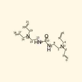 C=CCN(CC=C)CCNC(=O)NCCN(CC=C)CC=C